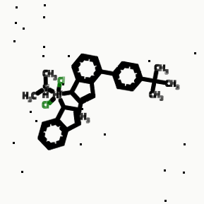 CC1=Cc2c(-c3ccc(C(C)(C)C)cc3)cccc2[CH]1[Hf]([Cl])([Cl])([CH]1C=Cc2ccccc21)[SiH](C)C